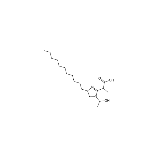 CCCCCCCCCCCC1CN(C(C)O)C(C(C)C(=O)O)=N1